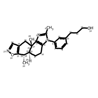 Cc1nc2c(n1-c1cccc(CCCO)c1)CC[C@H]1[C@H](C)c3oncc3C[C@]21C